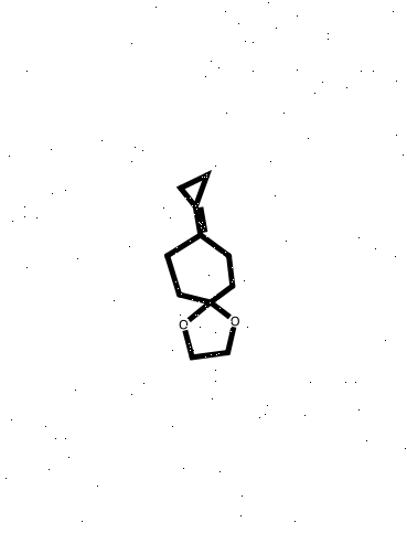 C1COC2(CCC(=C3CC3)CC2)O1